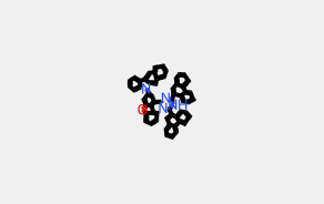 c1ccc2cc3c(cc2c1)c1ccccc1n3-c1cc(C2=NC(c3cc4ccccc4c4ccccc34)NC(c3cc4ccccc4c4ccccc34)=N2)c2c(c1)oc1ccccc12